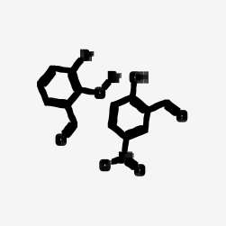 O=Cc1cc([N+](=O)[O-])ccc1O.O=Cc1cccc(Br)c1OBr